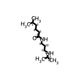 CC(C)CCCC(=O)NCCCNC(C)C